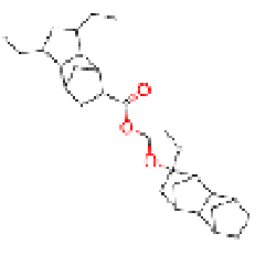 CCC1CC(CC)C2C3CC(CC3C(=O)OCOC3(CC)CC4CC3C3C5CCC(C5)C43)C12